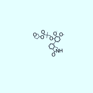 COc1ccc(-c2cccc3c2CNC3=O)c(OCC(C)(C)C(=O)O[C@H]2CCOC2)c1OC